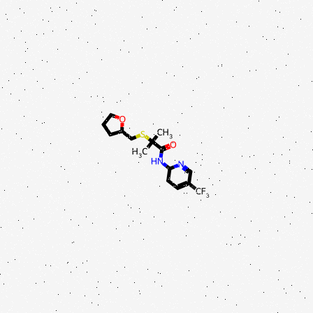 CC(C)(SCC1CCCO1)C(=O)NC1CC=C(C(F)(F)F)C=N1